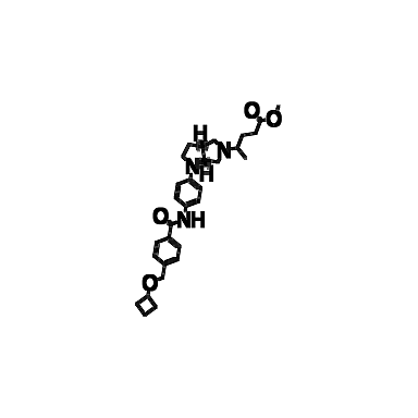 COC(=O)CCC(C)N1C[C@H]2CCN(c3ccc(NC(=O)c4ccc(COC5CCC5)cc4)cc3)[C@H]2C1